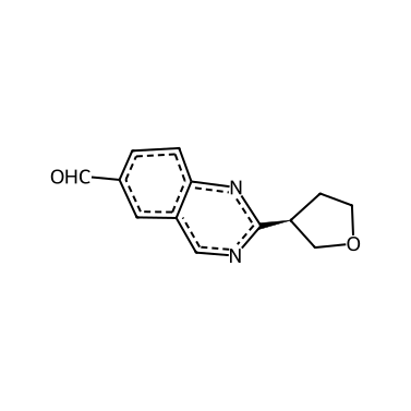 O=Cc1ccc2nc([C@H]3CCOC3)ncc2c1